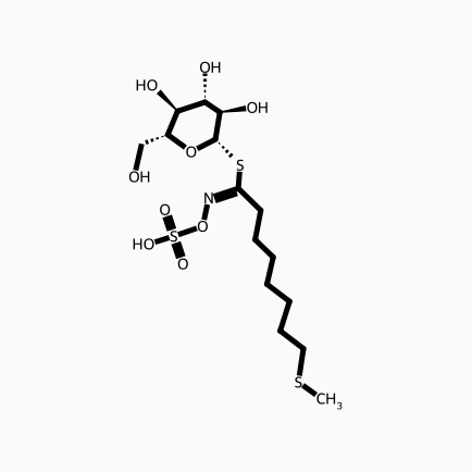 CSCCCCCCCC(=NOS(=O)(=O)O)S[C@@H]1O[C@H](CO)[C@@H](O)[C@H](O)[C@H]1O